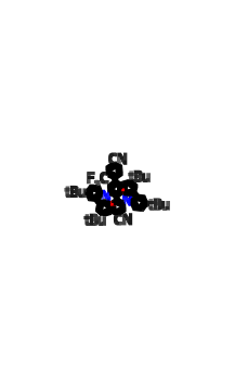 CC(C)(C)c1ccc2c(c1)c1cc(C(C)(C)C)ccc1n2-c1cc(C#N)ccc1-c1ccc(-c2ccc(C#N)cc2C(F)(F)F)cc1-n1c2ccc(C(C)(C)C)cc2c2cc(C(C)(C)C)ccc21